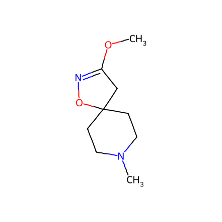 COC1=NOC2(CCN(C)CC2)C1